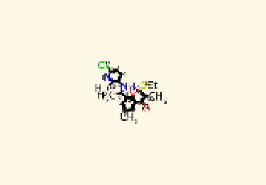 CCSc1oc2c(C(C)Nc3ccc(Cl)nc3C)cc(C)cc2c(=O)c1C